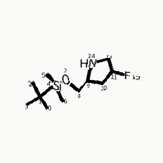 CC(C)(C)[Si](C)(C)OC[C@@H]1CC(F)CN1